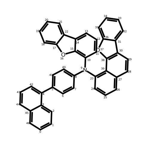 c1ccc2c(-c3ccc(N(c4cccc5c4oc4ccccc45)c4cccc5ccc6c7ccccc7oc6c45)cc3)cccc2c1